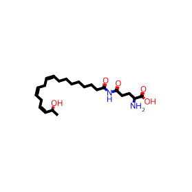 CC(O)/C=C\C/C=C\C/C=C\CCCCCCCC(=O)NC(=O)CCC(N)C(=O)O